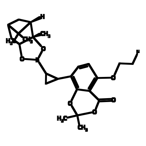 CC1(C)OC(=O)c2c(OCCF)ccc(C3CC3B3OC4CC5C[C@@H](C5(C)C)[C@]4(C)O3)c2O1